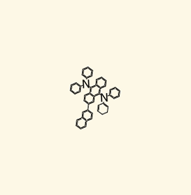 C1=CC(N(c2ccccc2)c2c3ccccc3c(N(c3ccccc3)c3ccccc3)c3ccc(-c4ccc5ccccc5c4)cc23)=CCC1